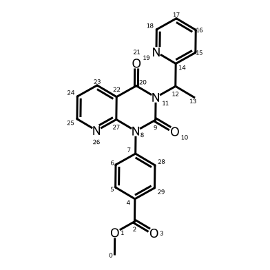 COC(=O)c1ccc(-n2c(=O)n(C(C)c3ccccn3)c(=O)c3cccnc32)cc1